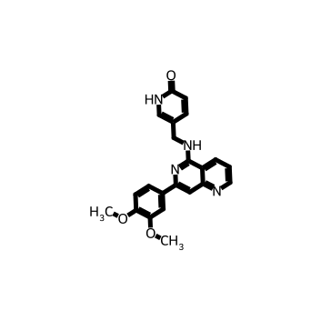 COc1ccc(-c2cc3ncccc3c(NCc3ccc(=O)[nH]c3)n2)cc1OC